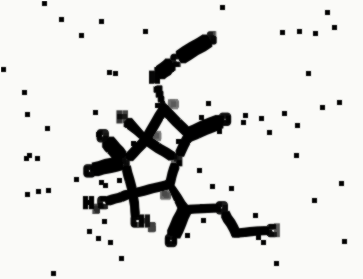 CC1(C)[C@H](C(=O)OCCl)N2C(=O)[C@@H](N=C=S)[C@H]2S1(=O)=O